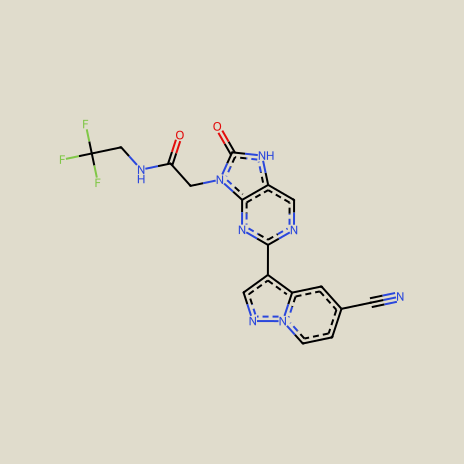 N#Cc1ccn2ncc(-c3ncc4[nH]c(=O)n(CC(=O)NCC(F)(F)F)c4n3)c2c1